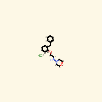 Cl.c1ccc(Cc2ccccc2OCCNN2CCOCC2)cc1